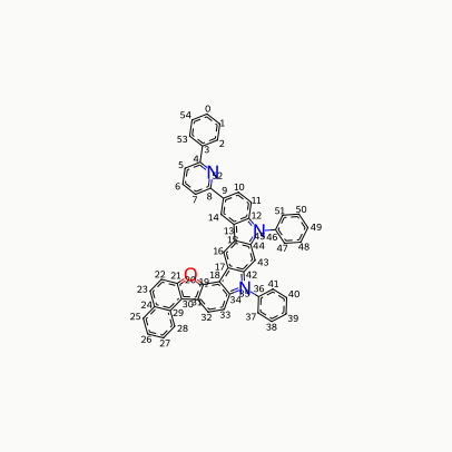 c1ccc(-c2cccc(-c3ccc4c(c3)c3cc5c6c7oc8ccc9ccccc9c8c7ccc6n(-c6ccccc6)c5cc3n4-c3ccccc3)n2)cc1